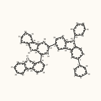 c1ccc(-c2ccc3c(c2)c2cc(-c4nc(-c5cccc6c5oc5ccccc56)c5sc6ccccc6c5n4)ccc2n3-c2ccccc2)cc1